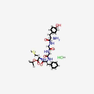 CSCC[C@H](NC(=O)[C@H](Cc1ccccc1)NC(=O)CNC(=O)CNC(=O)[C@@H](N)Cc1ccc(O)cc1)C(=O)OC(C)C.Cl